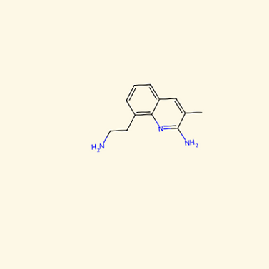 Cc1cc2cccc(CCN)c2nc1N